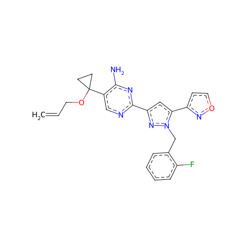 C=CCOC1(c2cnc(-c3cc(-c4ccon4)n(Cc4ccccc4F)n3)nc2N)CC1